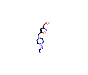 C/C=N/N1CCN(Cc2cc(CO)no2)CC1